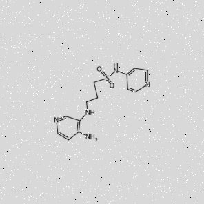 Nc1ccncc1NCCCS(=O)(=O)Nc1ccncc1